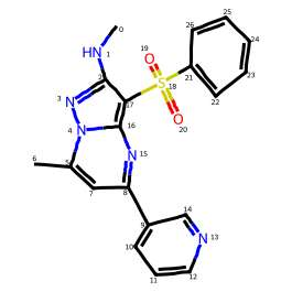 CNc1nn2c(C)cc(-c3cccnc3)nc2c1S(=O)(=O)c1ccccc1